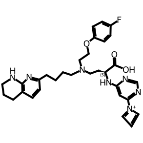 O=C(O)[C@H](CCN(CCCCc1ccc2c(n1)NCCC2)CCOc1ccc(F)cc1)Nc1cc([N+]2=CC=C2)ncn1